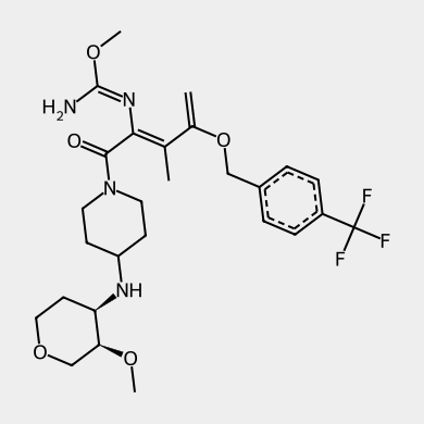 C=C(OCc1ccc(C(F)(F)F)cc1)/C(C)=C(\N=C(/N)OC)C(=O)N1CCC(N[C@@H]2CCOC[C@@H]2OC)CC1